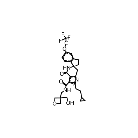 O=C1N[C@@]2(CCc3cc(OCC(F)(F)F)ccc32)Cc2nn(CCC3CC3)c(C(=O)NCC3(CO)COC3)c21